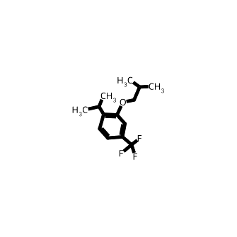 CC(C)COc1cc(C(F)(F)F)ccc1C(C)C